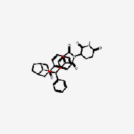 O=C1CCC(N2C(=O)c3ccc(C(=O)N4C5CCC4CN(C(c4ccccc4)c4ccccc4)C5)cc3C2=O)C(=O)N1